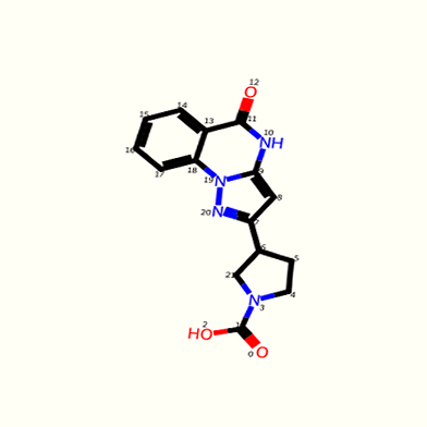 O=C(O)N1CCC(c2cc3[nH]c(=O)c4ccccc4n3n2)C1